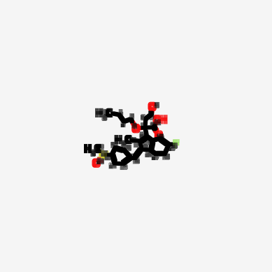 CCCCOC(CC=O)(C(=O)O)C1=C(C)C(=Cc2ccc([S+](C)[O-])cc2)c2ccc(F)cc21